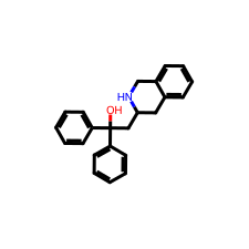 OC(CC1Cc2ccccc2CN1)(c1ccccc1)c1ccccc1